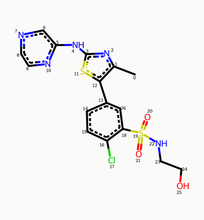 Cc1nc(Nc2cnccn2)sc1-c1ccc(Cl)c(S(=O)(=O)NCCO)c1